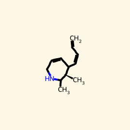 C=C/C=C\C1C=CCNC(C)[C@@H]1C